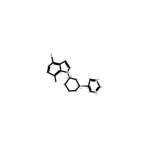 Cc1ccc(F)c2ccn([C@@H]3CCC[C@H](c4cncnc4)C3)c12